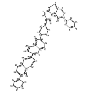 c1ccc(-c2ccc3ccc4ccc(-c5ccc(-c6ccc7cc(-c8ccc9nc(-c%10cccnc%10)ccc9c8)ccc7n6)cc5)nc4c3n2)cc1